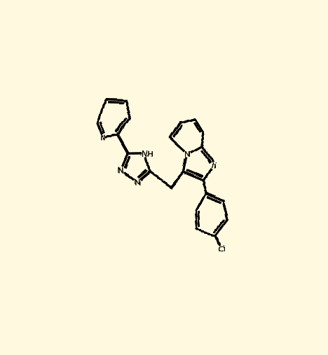 Clc1ccc(-c2nc3ccccn3c2Cc2nnc(-c3ccccn3)[nH]2)cc1